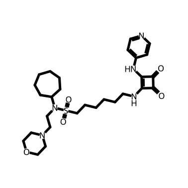 O=c1c(NCCCCCCS(=O)(=O)N(CCN2CCOCC2)C2CCCCCC2)c(Nc2ccncc2)c1=O